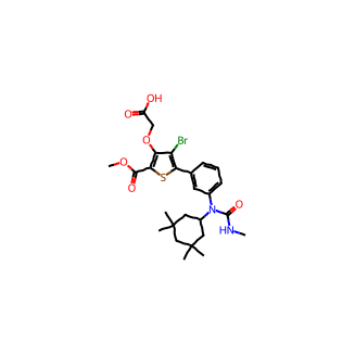 CNC(=O)N(c1cccc(-c2sc(C(=O)OC)c(OCC(=O)O)c2Br)c1)C1CC(C)(C)CC(C)(C)C1